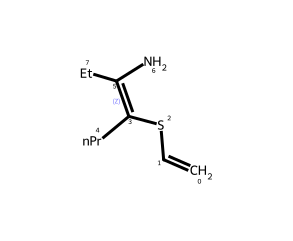 C=CS/C(CCC)=C(\N)CC